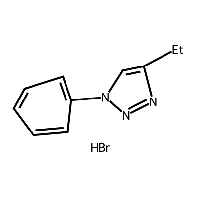 Br.CCc1cn(-c2ccccc2)nn1